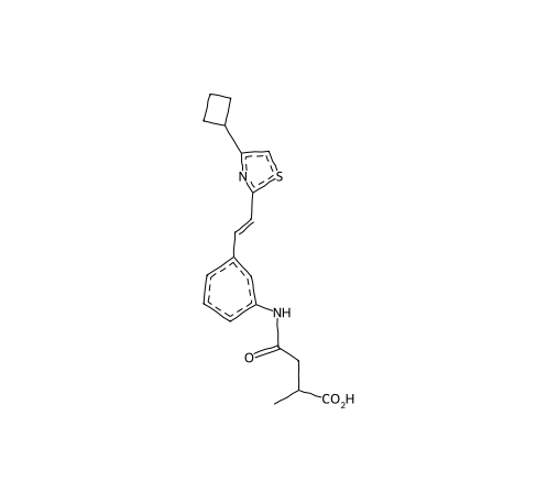 CC(CC(=O)Nc1cccc(C=Cc2nc(C3CCC3)cs2)c1)C(=O)O